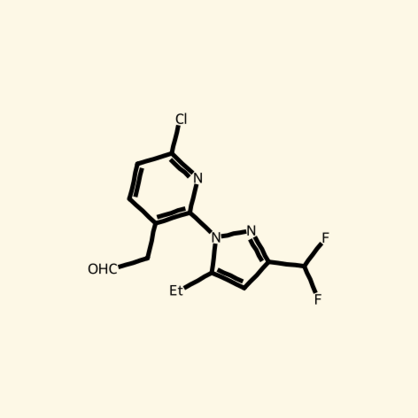 CCc1cc(C(F)F)nn1-c1nc(Cl)ccc1CC=O